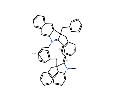 CC(C)CC[N+]1=C(/C=C/C=C2/N(C)c3ccccc3C2(Cc2ccccc2)Cc2ccccc2)C(Cc2ccccc2)(Cc2ccccc2)c2cc3ccccc3cc21